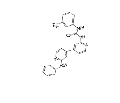 O=C(Nc1cccc(C(F)(F)F)c1)Nc1cc(-c2ccnc(Nc3ccccc3)c2)ccn1